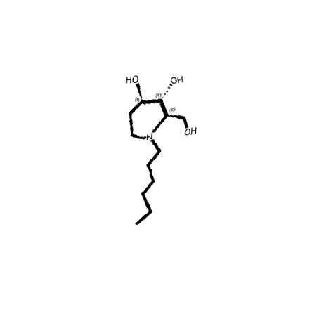 CCCCCCN1CC[C@@H](O)[C@H](O)[C@H]1CO